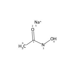 CC(=O)[N-]O.[Na+]